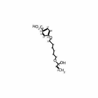 C=CC(O)OCCCCCCOc1ccc(C(=O)O)cc1